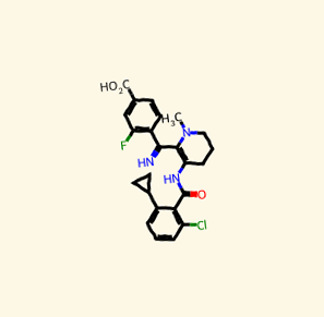 CN1CCCC(NC(=O)c2c(Cl)cccc2C2CC2)=C1C(=N)c1ccc(C(=O)O)cc1F